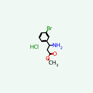 COC(=O)CC(N)c1cccc(Br)c1.Cl